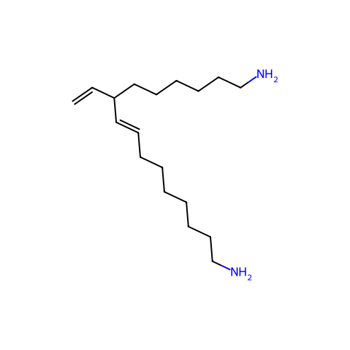 C=CC(C=CCCCCCCCN)CCCCCCN